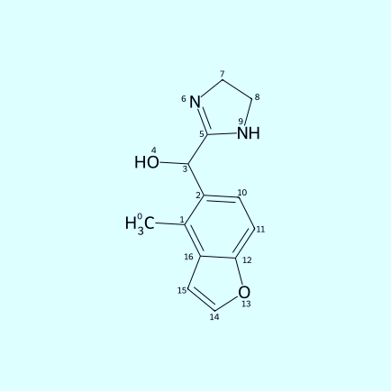 Cc1c(C(O)C2=NCCN2)ccc2occc12